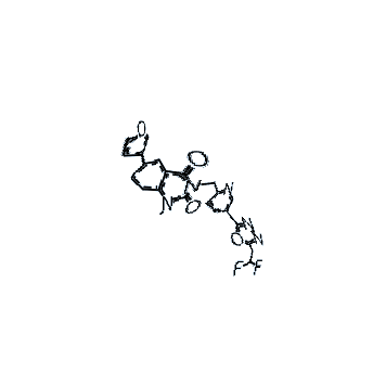 Cn1c(=O)n(Cc2ccc(-c3nnc(C(F)F)o3)cn2)c(=O)c2cc(-c3ccoc3)ccc21